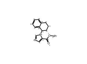 CC(C)OC(=O)c1cncn1C1CCCc2ccccc21